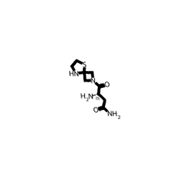 NC(=O)C[C@H](N)C(=O)N1CC2(C1)NCCS2